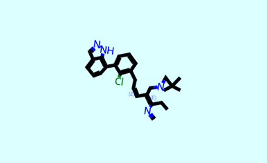 C=N/C(CC)=C(\C=C/Cc1cccc(-c2cccc3cn[nH]c23)c1Cl)CN1CC(C)(C)C1